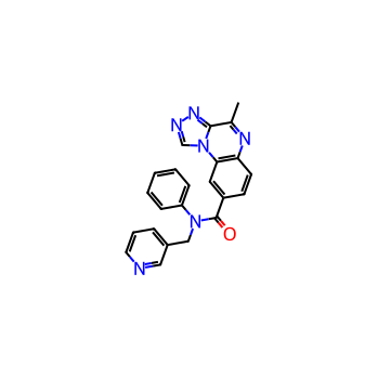 Cc1nc2ccc(C(=O)N(Cc3cccnc3)c3ccccc3)cc2n2cnnc12